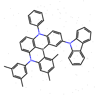 Cc1cc(C)cc(N2c3cc(C)cc(C)c3B3c4cc(-n5c6ccccc6c6ccccc65)ccc4N(c4ccccc4)c4cccc2c43)c1